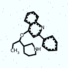 CCC(Oc1cc(-c2ccccc2)nc2ccccc12)C1CCCNC1